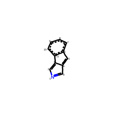 C1=NC=C2C1=Cc1ccccc12